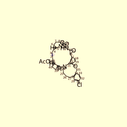 CC(=O)O[C@H]1/C=C/C[C@@H]2CCCN2S(=O)(=O)NC2OC2c2ccc3c(c2)N(CCCCc2cc(Cl)ccc2CO3)C[C@@H]2CC[C@H]21